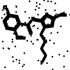 COc1ccc(Cl)cc1C(=O)N=c1sn(C(C)(C)C)cc1COCCF